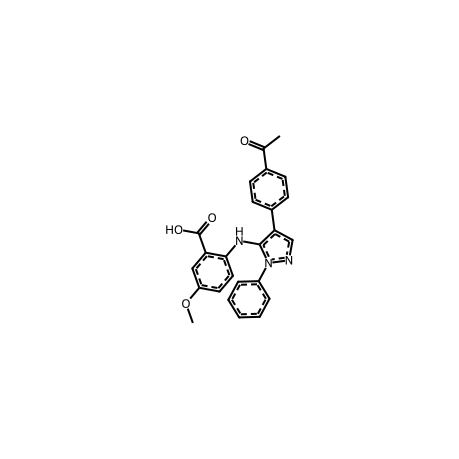 COc1ccc(Nc2c(-c3ccc(C(C)=O)cc3)cnn2-c2ccccc2)c(C(=O)O)c1